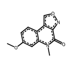 COc1ccc2c3conc3c(=O)n(C)c2c1